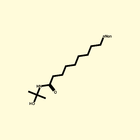 CCCCCCCCCCCCCCCCCC(=O)NC(C)(C)O